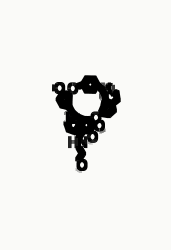 COCCCNCc1c2c3c(c(OC)c1OC)Oc1ccc4c(c1)[C@H](Cc1ccc(cc1)Oc1cc(ccc1OC)C[C@@H]3N(C)CCC2)N(C)CC4